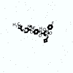 CN1CC(CN2CCc3c(ncnc3Oc3ccc(NC(=O)c4cn(CC5CCC5)c(=O)n(-c5ccc(F)cc5)c4=O)cc3F)C2)C1